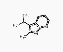 Cc1nn2ncccc2c1C(C)C